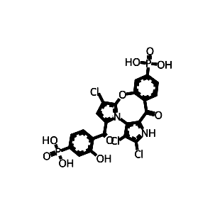 O=C1c2ccc(P(=O)(O)O)cc2Oc2c(Cl)cc(C(=O)c3ccc(P(=O)(O)O)cc3O)n2-c2c1[nH]c(Cl)c2Cl